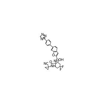 N#CC1(NC(=O)C2(NC(O)c3cc4ccc(-c5ccc(-n6ncnn6)cc5)cc4o3)CCC(F)(F)CC2)CC1